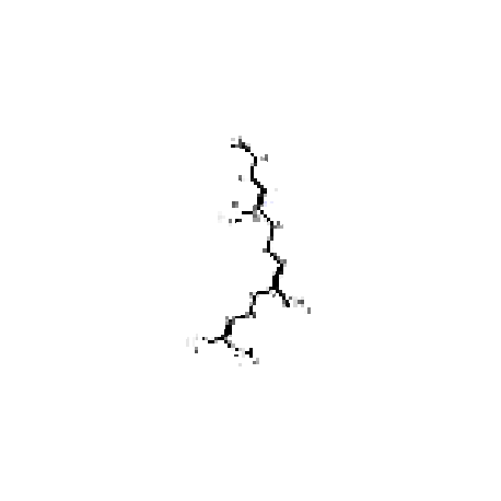 CC(C)=CCCC(C)=CCC/C(C)=C/CCCl